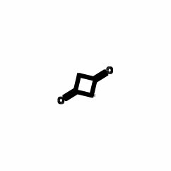 O=C1[CH]C(=O)C1